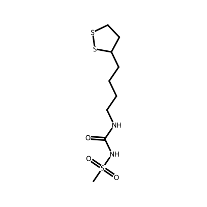 CS(=O)(=O)NC(=O)NCCCCC1CCSS1